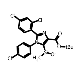 C[S+]([O-])c1c(C(=O)OC(C)(C)C)nc(-c2ccc(Cl)cc2Cl)n1-c1ccc(Cl)cc1